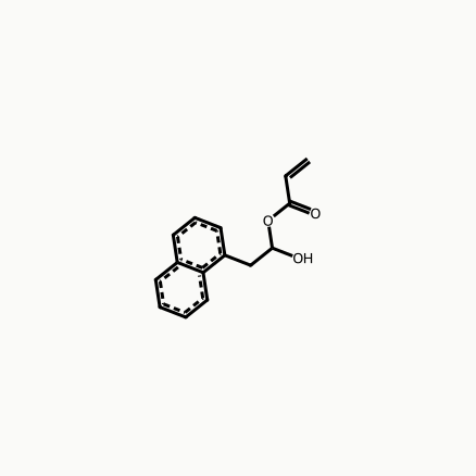 C=CC(=O)OC(O)Cc1cccc2ccccc12